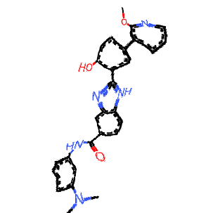 COc1ncccc1-c1ccc(O)c(-c2nc3cc(C(=O)Nc4cccc(N(C)C)c4)ccc3[nH]2)c1